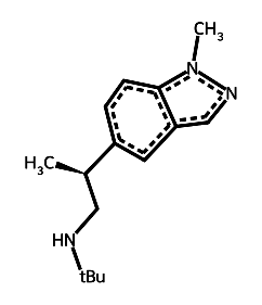 C[C@H](CNC(C)(C)C)c1ccc2c(cnn2C)c1